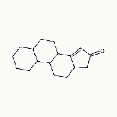 O=C1C=C2C(CCC3C2CCC2CCCCC23)C1